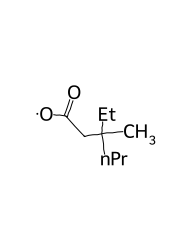 CCCC(C)(CC)CC([O])=O